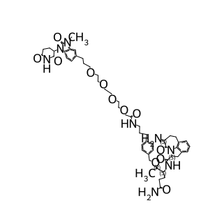 C[C@@H](OCc1ccc(CCCNC(=O)COCCOCCOCCOCCCc2ccc3c(c2)n(C)c(=O)n3C2CCC(=O)NC2=O)cc1)[C@H](CCC(N)=O)NC(=O)[C@@H]1Cc2cccc3c2N1C(=O)[C@@H](N)CC3